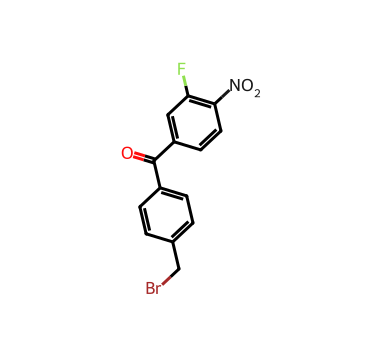 O=C(c1ccc(CBr)cc1)c1ccc([N+](=O)[O-])c(F)c1